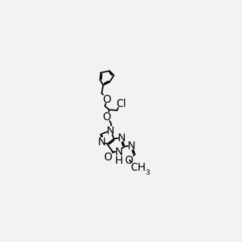 CO/C=N\c1nc2c(ncn2COC(CCl)COCc2ccccc2)c(=O)[nH]1